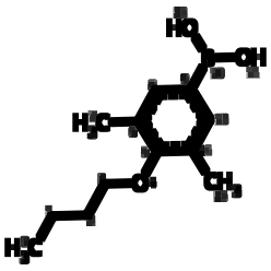 CCCCOc1c(C)cc(B(O)O)cc1C